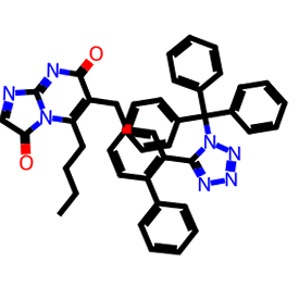 CCCCc1c(Cc2ccc(-c3ccccc3)c(-c3nnnn3C(c3ccccc3)(c3ccccc3)c3ccccc3)c2)c(=O)nc2n1C(=O)C=N2